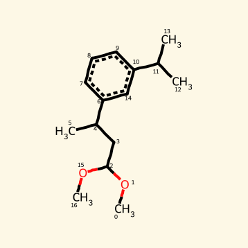 COC(CC(C)c1cccc(C(C)C)c1)OC